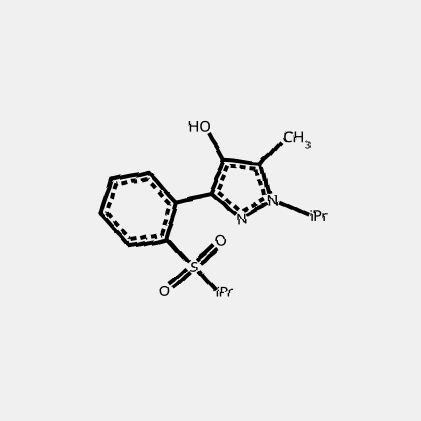 Cc1c(O)c(-c2ccccc2S(=O)(=O)C(C)C)nn1C(C)C